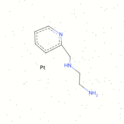 NCCNCc1ccccn1.[Pt]